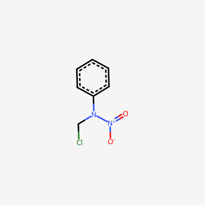 O=[N+]([O-])N(CCl)c1ccccc1